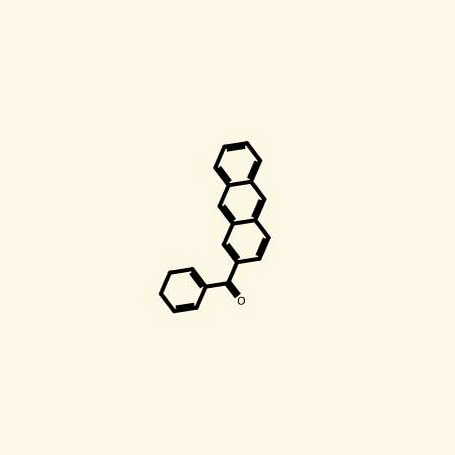 O=C(C1=CCCC=C1)c1ccc2cc3ccccc3cc2c1